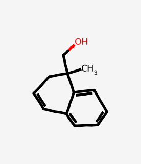 CC1(CO)CC=Cc2ccccc21